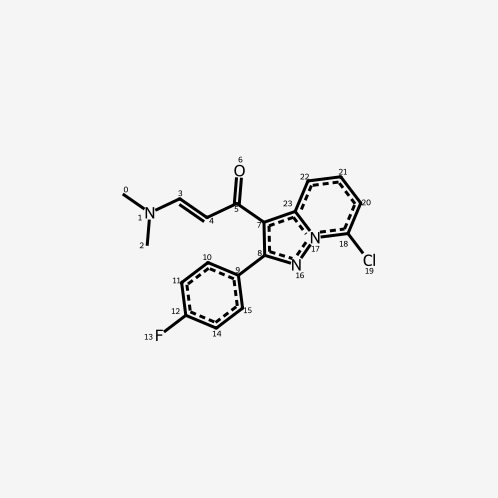 CN(C)C=CC(=O)c1c(-c2ccc(F)cc2)nn2c(Cl)cccc12